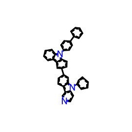 c1ccc(-c2ccc(-n3c4ccccc4c4cc(-c5ccc6c7cnccc7n(-c7ccccc7)c6c5)ccc43)cc2)cc1